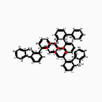 c1ccc(-c2ccccc2-c2c(-c3ccccc3)cccc2N(c2ccc(-c3cccc4sc5ccccc5c34)cc2)c2cccc(-c3cccc4c3oc3ccccc34)c2)cc1